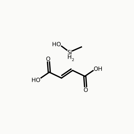 C[SiH2]O.O=C(O)C=CC(=O)O